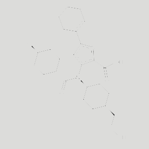 COC[C@H]1CC[C@@H](N(c2cc(C3=CCCCC3)sc2C(=O)O)C(=O)[C@H]2CC[C@H](C)CC2)CC1